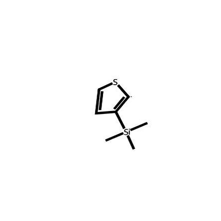 C[Si](C)(C)c1[c]scc1